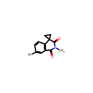 CC(C)c1ccc2c(c1)C(=O)N(C)C(=O)C21CC1